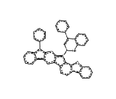 C1=C(c2ccccc2)c2ccccc2NC1n1c2cc3c(cc2c2ccc4c5ccccc5sc4c21)c1ccccc1n3-c1ccccc1